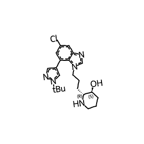 CC(C)(C)n1cc(-c2cc(Cl)cc3ncn(CCC[C@H]4NCCC[C@@H]4O)c23)cn1